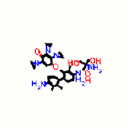 Cc1c(N)ccc(-c2ccc(N)c(C)c2C)c1C.NC(CO)(CO)CO.O=C1C=C(N2CC2)C(=O)C(N2CC2)=C1N1CC1